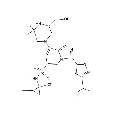 CC1CC1(C#N)NS(=O)(=O)c1cc(N2CC(CO)NC(C)(C)C2)c2cnc(-c3nnc(C(F)F)s3)n2c1